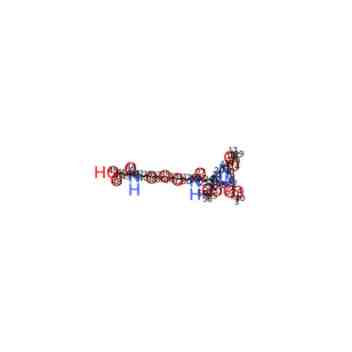 CC(C)(C)OC(=O)CN1CCN(CC(=O)OC(C)(C)C)CCN(C(CCC(=O)NCCCOCCOCCOCCCNC(=O)CCC(=O)O)C(=O)OC(C)(C)C)CC1